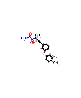 Cc1ccc(Oc2cccc(C#CC(C)N(O)C(N)=O)c2)cc1F